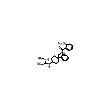 COc1ccccc1C(=O)NCC1(c2ccccc2)CCC(N/C(=N/C#N)NC(C)(C)C)CC1